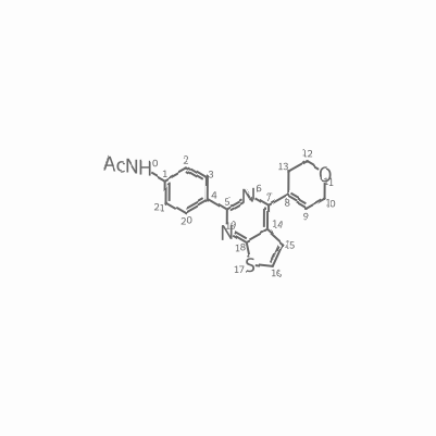 CC(=O)Nc1ccc(-c2nc(C3=CCOCC3)c3ccsc3n2)cc1